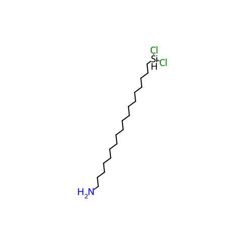 NCCCCCCCCCCCCCCCCCC[SiH](Cl)Cl